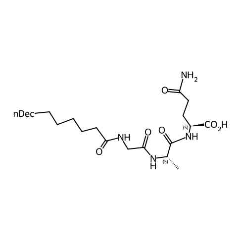 CCCCCCCCCCCCCCCC(=O)NCC(=O)N[C@@H](C)C(=O)N[C@@H](CCC(N)=O)C(=O)O